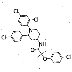 CC(C)(Oc1ccc(Cl)cc1)C(=O)NC1CCN(c2ccc(Cl)cc2Cl)C(c2ccc(Cl)cc2)C1